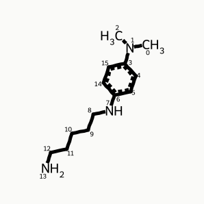 CN(C)c1ccc(NCCCCCN)cc1